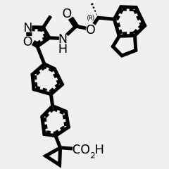 Cc1noc(-c2ccc(-c3ccc(C4(C(=O)O)CC4)cc3)cc2)c1NC(=O)O[C@H](C)c1cccc2c1CCC2